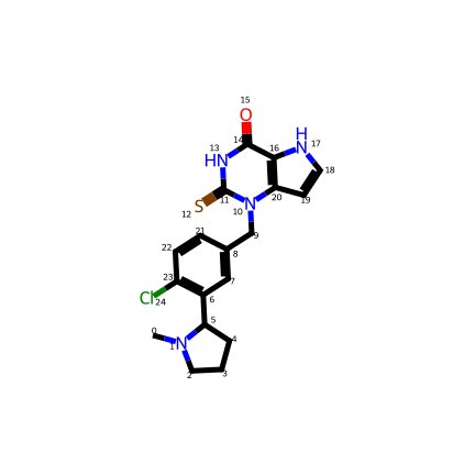 CN1CCCC1c1cc(Cn2c(=S)[nH]c(=O)c3[nH]ccc32)ccc1Cl